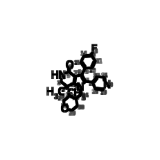 CC1(C)CNC(=O)c2c(-c3ccc(F)cc3)c(-c3ccncc3)n(CC3CCOCC3)c21